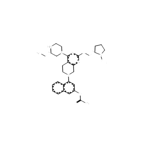 CN1CCC[C@H]1COc1nc2c(c(N3CCN[C@@H](CC#N)C3)n1)CCN(c1cc(OC(=O)C(C)(C)C)cc3ccccc13)C2